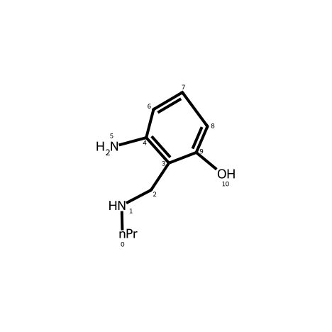 CCCNCc1c(N)cccc1O